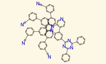 N#Cc1cccc(-c2ccc3c(c2)c2cc(-c4cccc(C#N)c4)ccc2n3-c2ccc(-c3nc(-c4ccccc4)nc(-c4ccccc4)n3)cc2-c2ccncc2-n2c3ccc(-c4cccc(C#N)c4)cc3c3cc(-c4cccc(C#N)c4)ccc32)c1